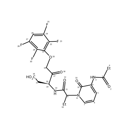 CCC(=O)Nc1cccn(C(CC)C(=O)N[C@@H](CC(=O)O)C(=O)COc2c(F)c(F)cc(F)c2F)c1=O